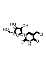 O=c1[nH]c(=O)n([C@@H]2O[C@H](CO)[C@H](O)C2O)cc1CCl